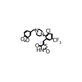 O=C1NC(=O)/C(=C/c2cc(C(F)(F)F)cc(Cl)c2N2CCN(Cc3ccc4c(c3)OCO4)CC2)S1